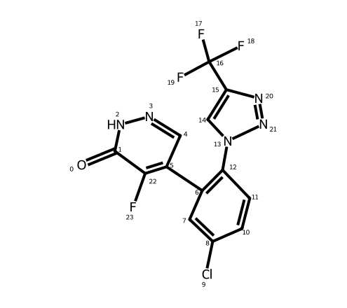 O=c1[nH]ncc(-c2cc(Cl)ccc2-n2cc(C(F)(F)F)nn2)c1F